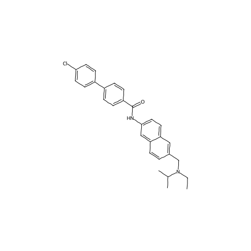 CCN(Cc1ccc2cc(NC(=O)c3ccc(-c4ccc(Cl)cc4)cc3)ccc2c1)C(C)C